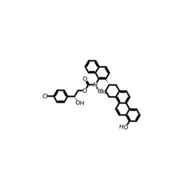 CC(C)(C)N(C(=O)OC[C@H](O)c1ccc(Cl)cc1)c1c([C@H]2CCc3c(ccc4c3ccc3c(O)cccc34)C2)ccc2ccccc12